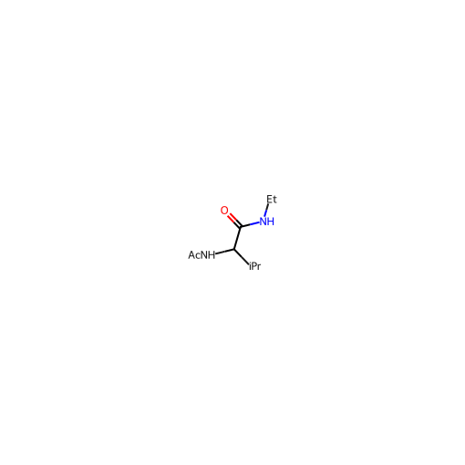 CCNC(=O)C(NC(C)=O)C(C)C